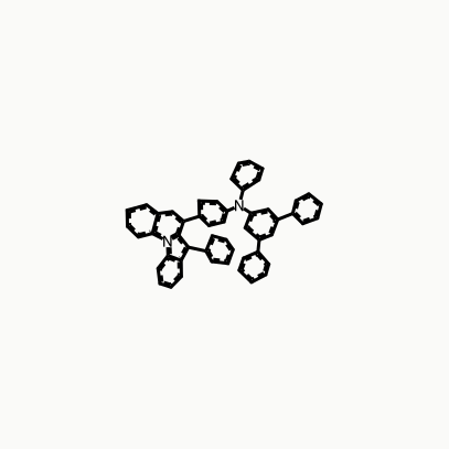 c1ccc(-c2cc(-c3ccccc3)cc(N(c3ccccc3)c3ccc(-c4cc5ccccc5n5c4c(-c4ccccc4)c4ccccc45)cc3)c2)cc1